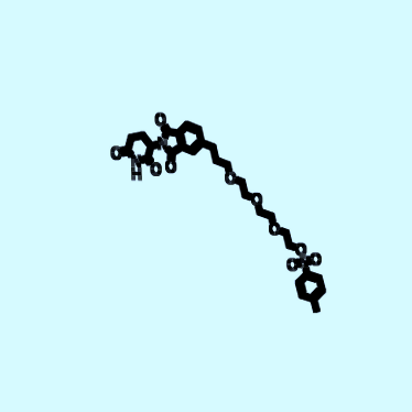 Cc1ccc(S(=O)(=O)OCCOCCOCCOCCCc2ccc3c(c2)C(=O)N(C2CCC(=O)NC2=O)C3=O)cc1